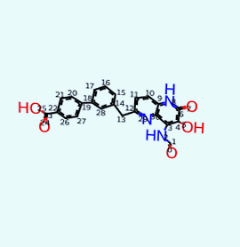 O=CNc1c(O)c(=O)[nH]c2ccc(Cc3cccc(-c4ccc(C(=O)O)cc4)c3)nc12